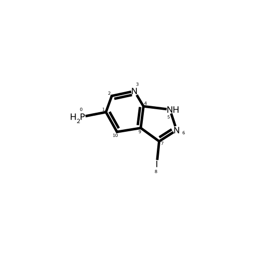 Pc1cnc2[nH]nc(I)c2c1